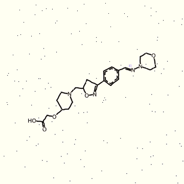 O=C(O)COC1CCN(CC2CC(c3ccc(/C=N/N4CCOCC4)cc3)=NO2)CC1